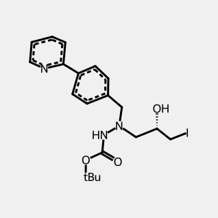 CC(C)(C)OC(=O)NN(Cc1ccc(-c2ccccn2)cc1)C[C@H](O)CI